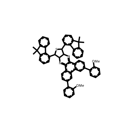 COc1ccccc1-c1ccc2c3c(c4ccc(-c5ccccc5OC)cc4c2c1)=NC1C(c2cccc4c2-c2ccccc2C4(C)C)SC(c2cccc4c2-c2ccccc2C4(C)C)C1N=3